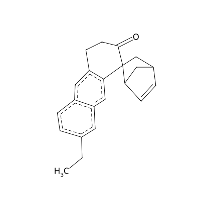 CCc1ccc2cc3c(cc2c1)C1(CC2C=CC1C2)C(=O)CC3